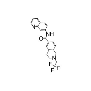 O=C(Nc1ccc2cccnc2c1)c1ccc2c(c1)CCN(CC(F)(F)F)C2